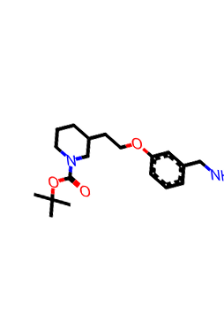 CC(C)(C)OC(=O)N1CCCC(CCOc2cccc(CN)c2)C1